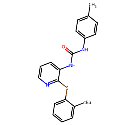 Cc1ccc(NC(=O)Nc2cccnc2Sc2ccccc2C(C)(C)C)cc1